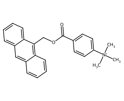 C[N+](C)(C)c1ccc(C(=O)OCc2c3ccccc3cc3ccccc23)cc1